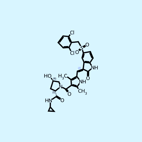 Cc1[nH]c(/C=C2\C(=O)Nc3ccc(S(=O)(=O)Cc4c(Cl)cccc4Cl)cc32)c(C)c1C(=O)N1C[C@H](O)C[C@H]1C(=O)NC1CC1